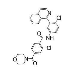 O=C(Nc1ccc(Cl)c(-c2nccc3ccccc23)c1)c1ccc(C(=O)N2CCOCC2)cc1Cl